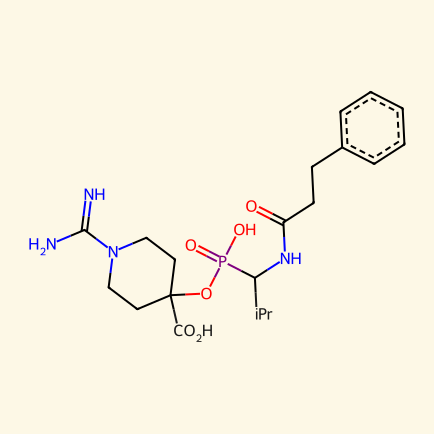 CC(C)C(NC(=O)CCc1ccccc1)P(=O)(O)OC1(C(=O)O)CCN(C(=N)N)CC1